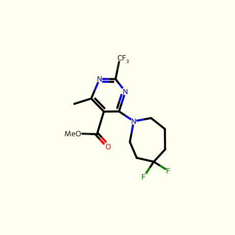 COC(=O)c1c(C)nc(C(F)(F)F)nc1N1CCCC(F)(F)CC1